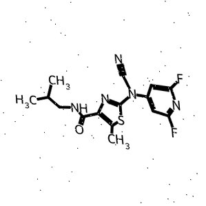 Cc1sc(N(C#N)c2cc(F)nc(F)c2)nc1C(=O)NCC(C)C